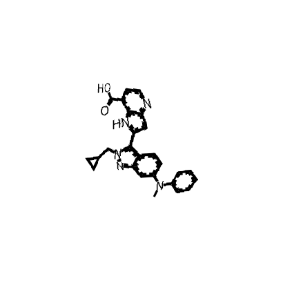 CN(c1ccccc1)c1ccc2c(-c3cc4nccc(C(=O)O)c4[nH]3)n(CC3CC3)nc2c1